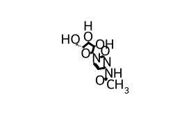 CC(=O)Nc1ccn(C2O[C@H](CO)[C@@H](O)[C@H]2O)c(=O)n1